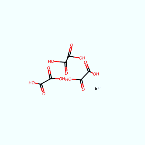 O=C(O)C(=O)O.O=C(O)C(=O)O.O=C(O)C(=O)O.[Ir+3]